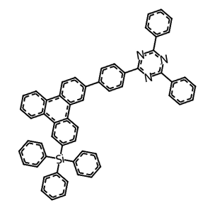 c1ccc(-c2nc(-c3ccccc3)nc(-c3ccc(-c4ccc5c6ccccc6c6cc([Si](c7ccccc7)(c7ccccc7)c7ccccc7)ccc6c5c4)cc3)n2)cc1